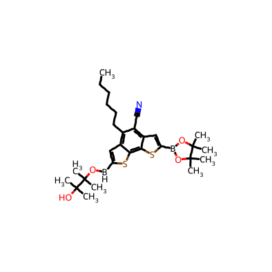 CCCCCCc1c(C#N)c2cc(B3OC(C)(C)C(C)(C)O3)sc2c2sc(BOC(C)(C)C(C)(C)O)cc12